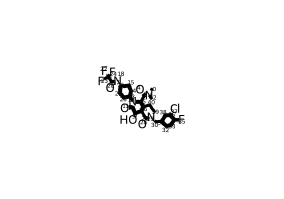 CN(C)C(=O)c1c2c(c(O)c(=O)n1-c1ccc(N(C)C(=O)C(F)(F)F)cc1)C(=O)N(Cc1ccc(F)c(Cl)c1)CC2